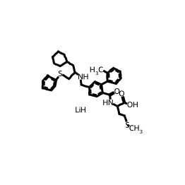 CSCCC(NC(=O)c1ccc(CNC(CSc2ccccc2)CC2CCCCC2)cc1-c1ccccc1C)C(=O)O.[LiH]